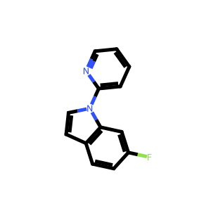 Fc1ccc2ccn(-c3ccccn3)c2c1